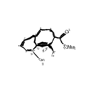 COC(=O)c1ccc2ccc[n+](O)c2c1F